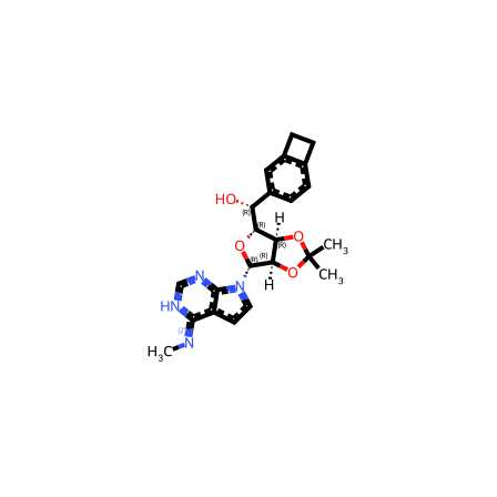 C/N=c1\[nH]cnc2c1ccn2[C@@H]1O[C@H]([C@H](O)c2ccc3c(c2)CC3)[C@H]2OC(C)(C)O[C@H]21